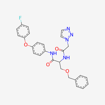 O=C(Cn1ccnn1)NC(COCc1ccccc1)C(=O)Nc1ccc(Oc2ccc(F)cc2)cc1